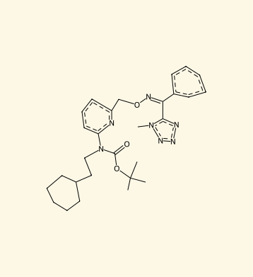 Cn1nnnc1C(=NOCc1cccc(N(CCC2CCCCC2)C(=O)OC(C)(C)C)n1)c1ccccc1